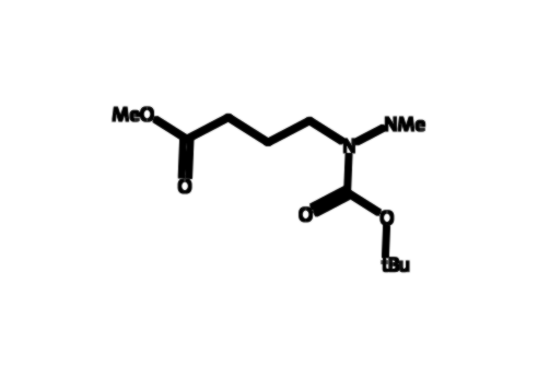 CNN(CCCC(=O)OC)C(=O)OC(C)(C)C